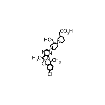 Cc1nn(C(C)c2ccc(Cl)cc2Cl)c2nc(N3CCC(N4CCCC(CC(=O)O)C4)[C@H](CO)C3)cnc12